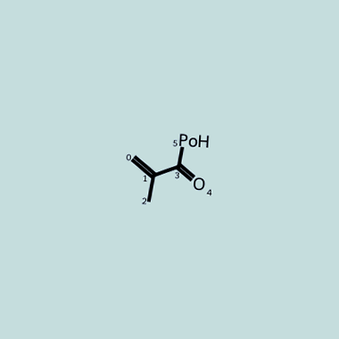 C=C(C)[C](=O)[PoH]